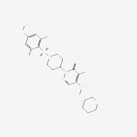 COc1cc(C)c(S(=O)(=O)N2CCC(n3ncc(NC[C@H]4CCCOC4)c(Cl)c3=O)CC2)c(C)c1